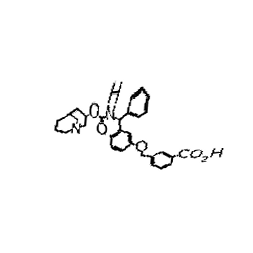 O=C(N[C@@H](c1ccccc1)c1cccc(OCc2cccc(C(=O)O)c2)c1)O[C@@H]1CC2CCCN(C2)C1